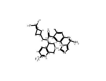 Cc1cc2nc(N)c3cncn3c2cc1C(=O)N(CC1CC(=C(F)F)C1)C1COCc2nc(C(F)(F)F)ccc21